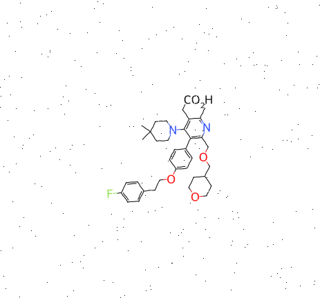 Cc1nc(COCC2CCOCC2)c(-c2ccc(OCCc3ccc(F)cc3)cc2)c(N2CCC(C)(C)CC2)c1CC(=O)O